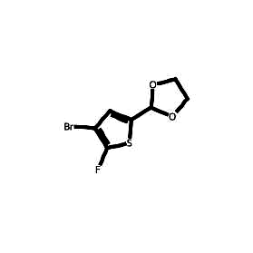 Fc1sc(C2OCCO2)cc1Br